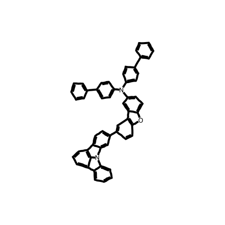 c1ccc(-c2ccc(N(c3ccc(-c4ccccc4)cc3)c3ccc4oc5ccc(-c6ccc7c8cccc9c%10ccccc%10n(c7c6)c98)cc5c4c3)cc2)cc1